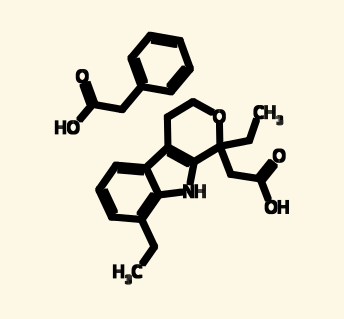 CCc1cccc2c3c([nH]c12)C(CC)(CC(=O)O)OCC3.O=C(O)Cc1ccccc1